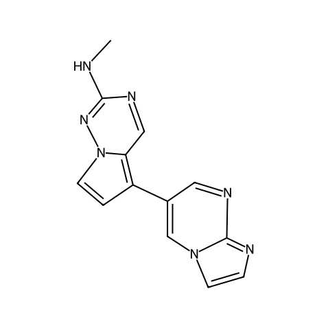 CNc1ncc2c(-c3cnc4nccn4c3)ccn2n1